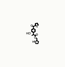 CC(C(=O)OCC1CCCN1)c1ccc(C(=O)c2cccs2)cc1.Cl